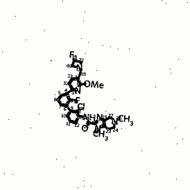 COc1nc(-c2cccc(-c3cccc(NC(=O)c4nc5c(n4C)CCN(C)C5)c3Cl)c2F)ccc1CN1CC(F)C1